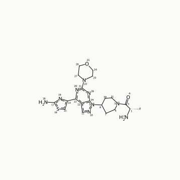 C[C@H](N)C(=O)N1CCC(n2ncc3c(-c4csc(N)n4)nc(N4CCOCC4)nc32)CC1